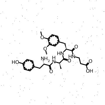 COc1ccc(C[C@H](NC(=O)[C@@H](C)NC(=O)[C@@H](N)Cc2ccc(O)cc2)C(=O)NCCC(=O)O)cc1OC